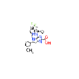 Cc1cccc(-c2cc3nc(C(=O)O)nc(N[C@H](C)C4CCC4)c3n2Cc2ccc(C(F)F)cc2)c1